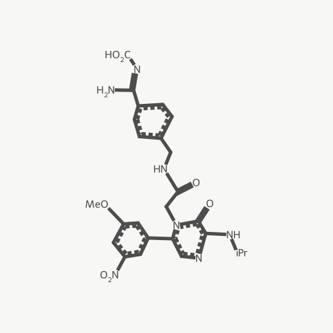 COc1cc(-c2cnc(NC(C)C)c(=O)n2CC(=O)NCc2ccc(/C(N)=N/C(=O)O)cc2)cc([N+](=O)[O-])c1